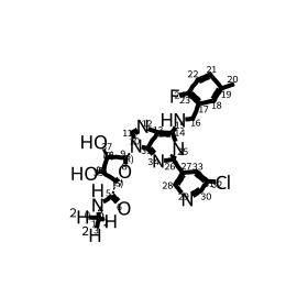 [2H]C([2H])([2H])NC(=O)[C@H]1O[C@@H](n2cnc3c(NCc4cc(C)ccc4F)nc(-c4cncc(Cl)c4)nc32)[C@H](O)[C@@H]1O